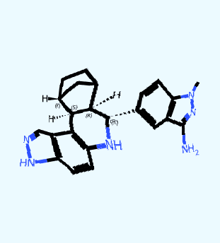 Cn1nc(N)c2cc([C@@H]3Nc4ccc5[nH]ncc5c4[C@H]4[C@@H]5CCC(C5)[C@H]43)ccc21